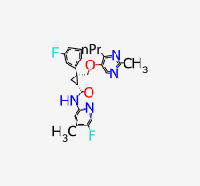 CCCc1nc(C)ncc1OC[C@@]1(c2cccc(F)c2)C[C@H]1C(=O)Nc1cc(C)c(F)cn1